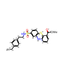 COC(=O)c1ccccc1Sc1ccc(S(=O)(=O)NCCc2ccc(CC(C)C)cc2)cc1N